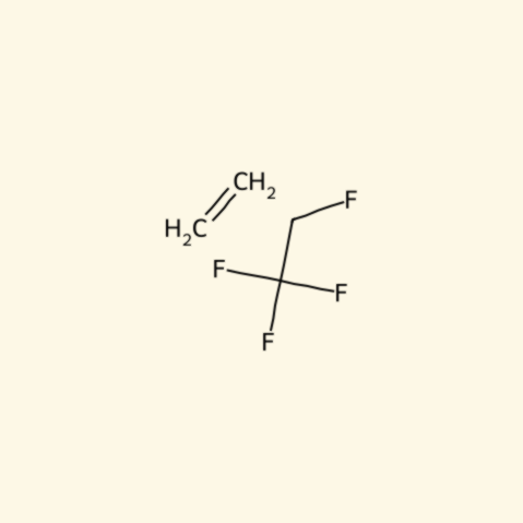 C=C.FCC(F)(F)F